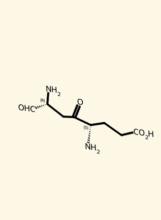 N[C@@H](C=O)CC(=O)[C@@H](N)CCC(=O)O